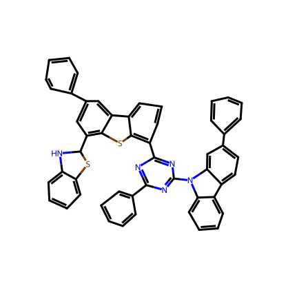 c1ccc(-c2cc(C3Nc4ccccc4S3)c3sc4c(-c5nc(-c6ccccc6)nc(-n6c7ccccc7c7ccc(-c8ccccc8)cc76)n5)cccc4c3c2)cc1